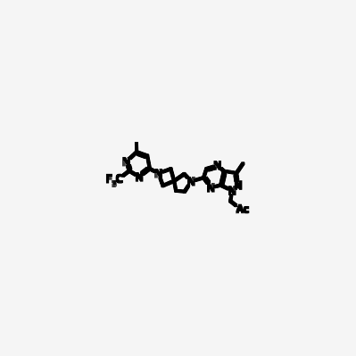 CC(=O)Cn1nc(C)c2ncc(N3CCC4(CN(c5cc(C)nc(C(F)(F)F)n5)C4)C3)nc21